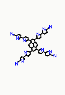 N#Cc1ccc(-c2ccc(-c3cc(-c4ccc(-c5ccc(C#N)nc5)nc4)c4ccc5c(-c6ccc(-c7ccc(C#N)nc7)nc6)cc(-c6ccc(-c7ccc(C#N)nc7)nc6)c6ccc3c4c65)cn2)cn1